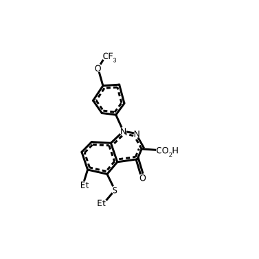 CCSc1c(CC)ccc2c1c(=O)c(C(=O)O)nn2-c1ccc(OC(F)(F)F)cc1